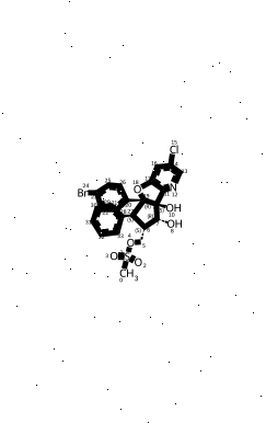 CS(=O)(=O)OC[C@H]1[C@@H](O)[C@@]2(O)c3ncc(Cl)cc3O[C@@]2(c2ccc(Br)cc2)[C@@H]1c1ccccc1